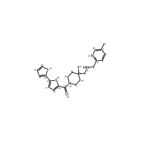 Cc1ccc(CNCC2(F)CCN(C(=O)c3ccc(-c4cccs4)s3)CC2)nc1